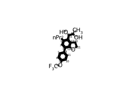 CCCc1cc(-c2ccc(OC(F)(F)F)cc2)c2c(c1[C@H](O)[C@H](C)O)CCO2